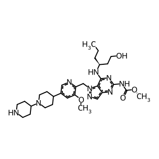 CCC[C@@H](CCO)Nc1nc(NC(=O)OC)nc2cnn(Cc3ncc(C4CCN(C5CCNCC5)CC4)cc3OC)c12